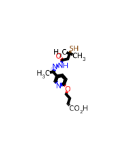 C/C(=N/NC(=O)CC(C)(C)S)c1ccc(OCCCC(=O)O)nc1